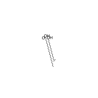 CC(C)CCCCCCCCCCCCCCCO.CCCCCCCCCCCCCCCCCCCCCC(=O)O